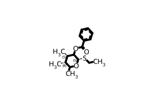 CCS[C@@H]1OC(C)[C@H](C)[C@H](C)C1OC(=O)c1ccccc1